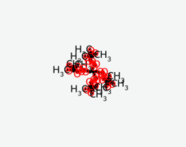 COc1cc(OC)c(C(=O)OOC(=O)OCCC(COC(=O)OOC(=O)c2cc(OC)c(OC)cc2OC)C(CCOC(=O)OOC(=O)c2cc(OC)c(OC)cc2OC)COC(=O)OOC(=O)c2cc(OC)c(OC)cc2OC)cc1OC